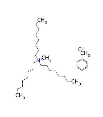 CCCCCCCC[N+](C)(CCCCCCCC)CCCCCCCC.Cc1ccccc1.[Cl-]